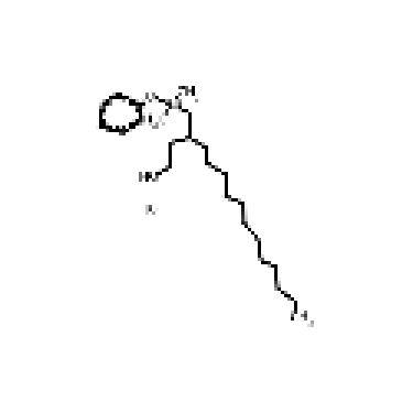 CCCCCCCCCCCCC(CCO)C[N+](C)(C)Oc1ccccc1.[Br-]